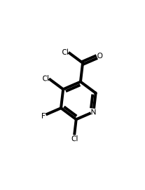 O=C(Cl)c1cnc(Cl)c(F)c1Cl